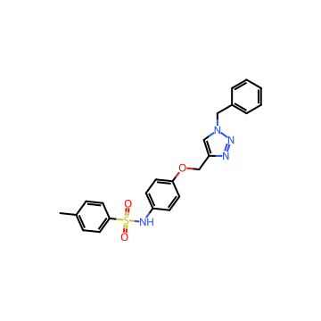 Cc1ccc(S(=O)(=O)Nc2ccc(OCc3cn(Cc4ccccc4)nn3)cc2)cc1